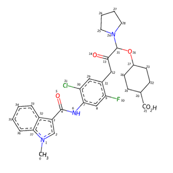 Cn1cc(C(=O)Nc2cc(F)c(CC(=O)C(OC3CCC(C(=O)O)CC3)N3CCCC3)cc2Cl)c2ccccc21